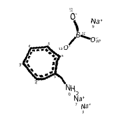 Nc1ccccc1.[Na+].[Na+].[Na+].[O-]B([O-])[O-]